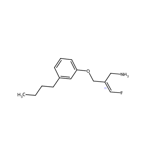 CCCCc1cccc(OC/C(=C/F)CN)c1